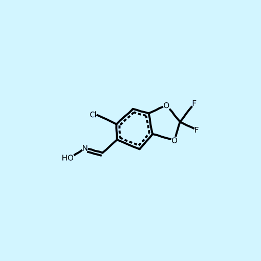 ON=Cc1cc2c(cc1Cl)OC(F)(F)O2